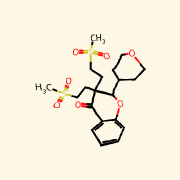 CS(=O)(=O)CCC1(CCS(C)(=O)=O)C(=O)c2ccccc2OC1C1CCOCC1